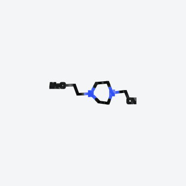 COCCN1CCN(CC#N)CC1